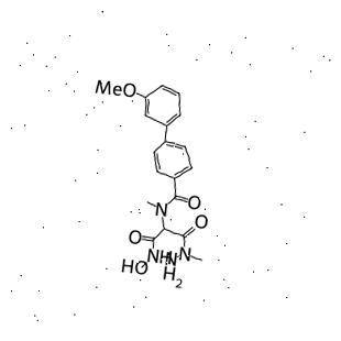 COc1cccc(-c2ccc(C(=O)N(C)C(C(=O)NO)C(=O)N(C)N)cc2)c1